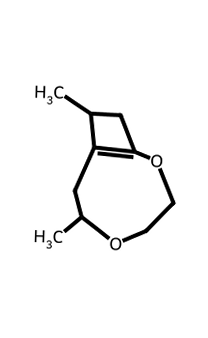 CC1CC2=C(CC2C)OCCO1